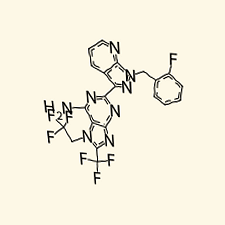 Nc1nc(-c2nn(Cc3ccccc3F)c3ncccc23)nc2nc(C(F)(F)F)n(CC(F)(F)F)c12